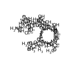 COc1ccc(C[C@@H]2NC(=O)[C@H](C)NC(=O)[C@H](NC(=O)c3oc4c(OC)c(OC)ccc4c3C)CCSSC[C@@H](C(=O)NC(C(=O)N3C[C@H](O)C[C@H]3C(=O)N[C@@H](Cc3ccc(Cl)cc3)C(=O)N[C@@H](CCCNC(=N)N)C(=O)N3CCC[C@H]3C(N)=O)C(C)C)NC(=O)[C@H](CC(=O)O)NC(=O)[C@@H]3CCCN3C2=O)cc1